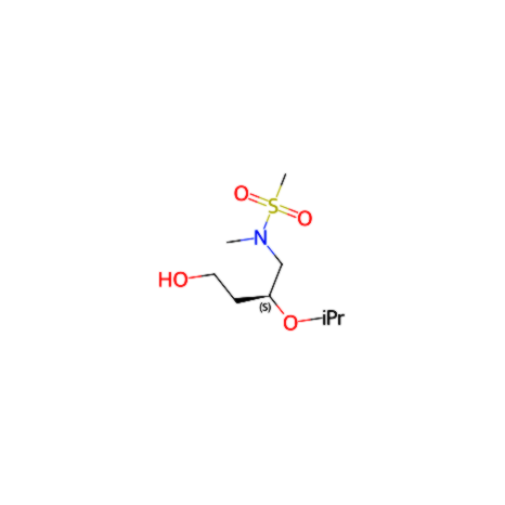 CC(C)O[C@@H](CCO)CN(C)S(C)(=O)=O